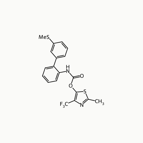 CSc1cccc(-c2ccccc2NC(=O)Oc2sc(C)nc2C(F)(F)F)c1